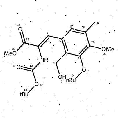 CCCCOc1c(CO)c(/C=C(\NC(=O)OC(C)(C)C)C(=O)OC)cc(C)c1OC